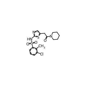 Cc1c(Cl)cccc1S(=O)(=O)Nc1ncc(CC(=O)N2CCCCC2)s1